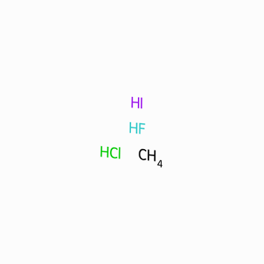 C.Cl.F.I